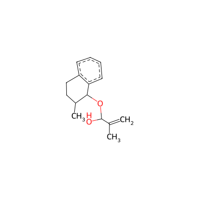 C=C(C)C(O)OC1c2ccccc2CCC1C